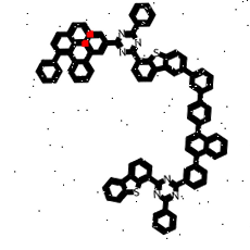 c1ccc(-c2nc(-c3cccc(-c4ccc(-c5ccc(-c6cccc(-c7ccc8sc9c(-c%10nc(-c%11ccccc%11)nc(-c%11cccc(-c%12ccccc%12-c%12c(-c%13ccccc%13)ccc%13ccccc%12%13)c%11)n%10)cccc9c8c7)c6)cc5)c5ccccc45)c3)nc(-c3cccc4c3sc3ccccc34)n2)cc1